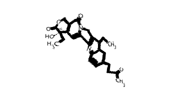 CCc1c2c(nc3ccc(CCC(C)=O)cc13)-c1cc3c(c(=O)n1C2)COC(=O)[C@]3(O)CC